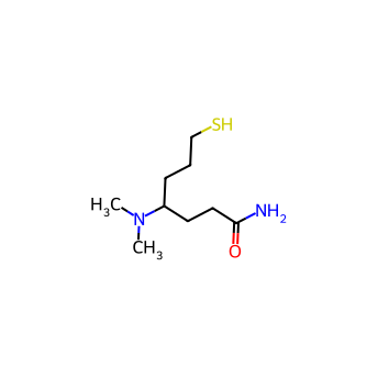 CN(C)C(CCCS)CCC(N)=O